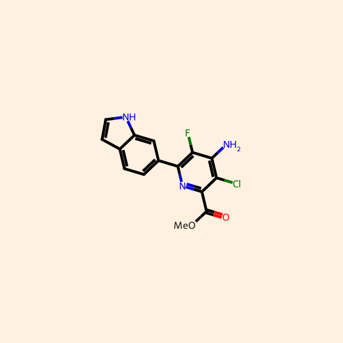 COC(=O)c1nc(-c2ccc3cc[nH]c3c2)c(F)c(N)c1Cl